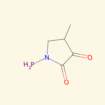 CC1CN(P)C(=O)C1=O